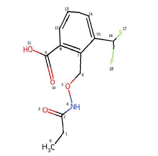 CCC(=O)NOCc1c(C(=O)O)cccc1C(F)F